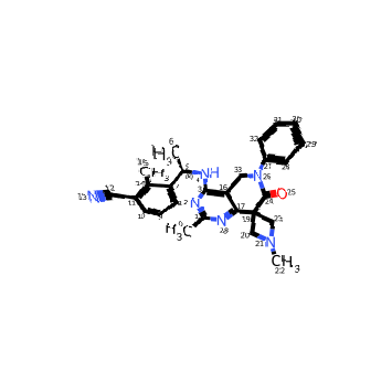 Cc1nc(N[C@H](C)c2cccc(C#N)c2C)c2c(n1)C1(CN(C)C1)C(=O)N(c1ccccc1)C2